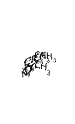 CCCC(C)(CC)c1ccncc1Cl